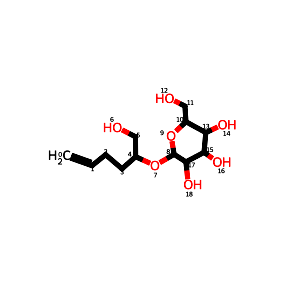 C=CCCC(CO)OC1OC(CO)C(O)C(O)C1O